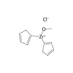 C[O][Zr+]([C]1=CC=CC1)[C]1=CC=CC1.[Cl-]